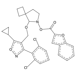 O=C(ON1CCC2(CCC2)C1OCc1c(-c2c(Cl)cccc2Cl)noc1C1CC1)c1cc2ccccc2o1